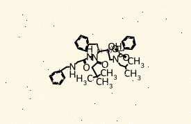 CC(C)CN(C[C@@H](O)[C@H](Cc1ccccc1)N(NC(=O)CNCc1ccccc1)C(=O)CC(C)(C)C)S(=O)(=O)c1ccccc1